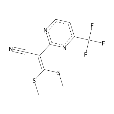 CSC(SC)=C(C#N)c1nccc(C(F)(F)F)n1